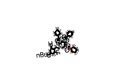 CCCCOc1cc(F)c(CCN2C[C@H](OC(=O)c3ccccc3)[C@@H](OC(=O)c3ccccc3)[C@H](OC(=O)c3ccccc3)[C@@H]2C)c(F)c1